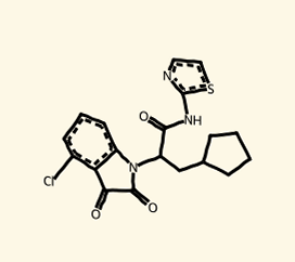 O=C1C(=O)N(C(CC2CCCC2)C(=O)Nc2nccs2)c2cccc(Cl)c21